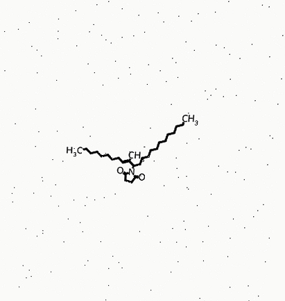 CCCCCCCCC=C(C)C(CCCCCCCCCCCC)N1C(=O)CCC1=O